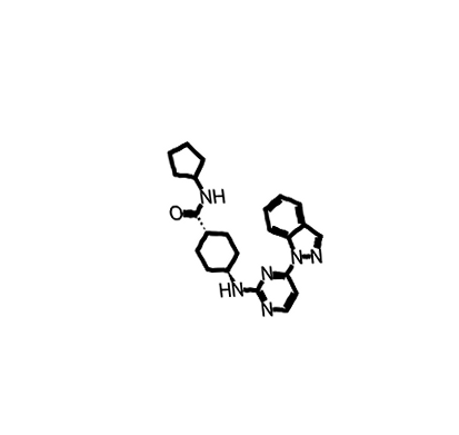 O=C(NC1CCCC1)[C@H]1CC[C@H](Nc2nccc(-n3ncc4ccccc43)n2)CC1